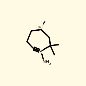 C[C@H]1CCC#P(N)C(C)(C)C1